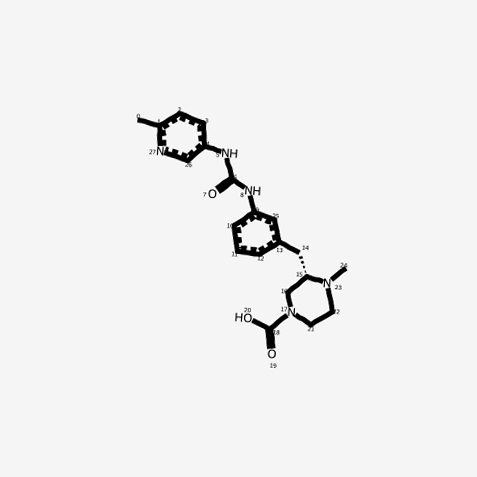 Cc1ccc(NC(=O)Nc2cccc(C[C@H]3CN(C(=O)O)CCN3C)c2)cn1